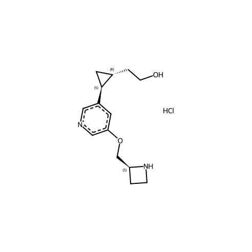 Cl.OCC[C@H]1C[C@@H]1c1cncc(OC[C@@H]2CCN2)c1